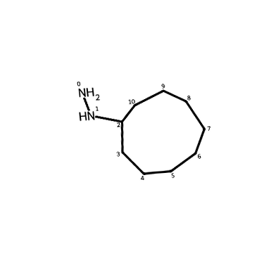 NNC1CCCCCCCC1